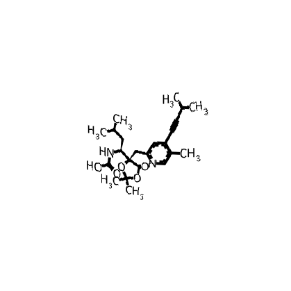 Cc1cnc(C[C@]2([C@H](CC(C)C)NC(=O)O)OC(C)(C)OC2=O)cc1C#CC(C)C